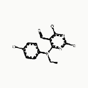 CCN(c1ccc(Cl)cc1)c1nc(Cl)nc(Cl)c1C=O